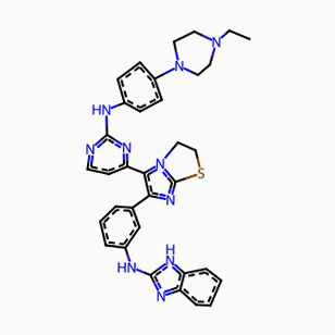 CCN1CCN(c2ccc(Nc3nccc(-c4c(-c5cccc(Nc6nc7ccccc7[nH]6)c5)nc5n4CCS5)n3)cc2)CC1